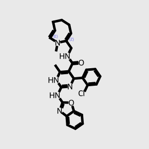 CC1=C(C(=O)NC/C2=C/CCC/C=C/N2C)C(c2ccccc2Cl)N=C(Nc2nc3ccccc3o2)N1